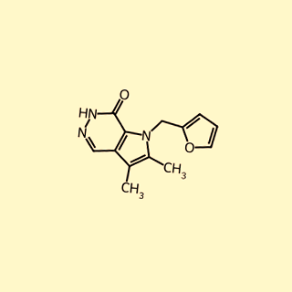 Cc1c(C)n(Cc2ccco2)c2c(=O)[nH]ncc12